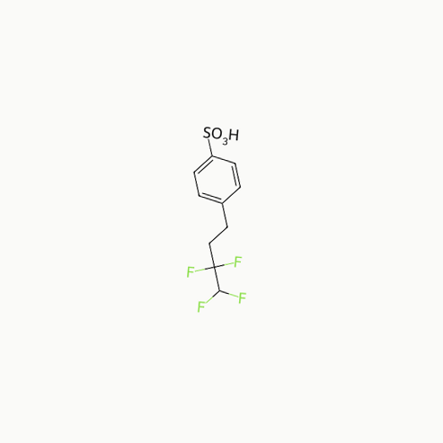 O=S(=O)(O)c1ccc(CCC(F)(F)C(F)F)cc1